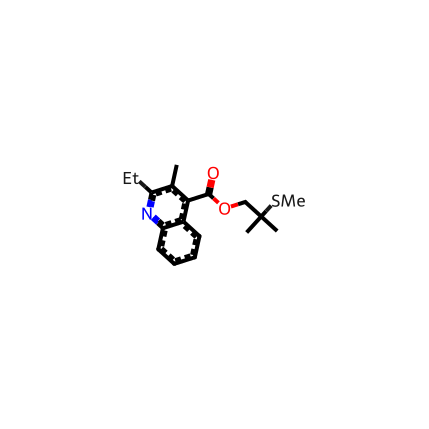 CCc1nc2ccccc2c(C(=O)OCC(C)(C)SC)c1C